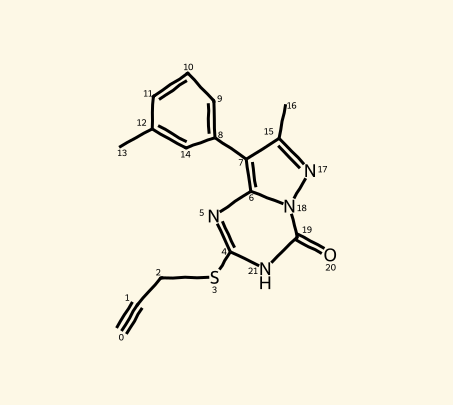 C#CCSc1nc2c(-c3cccc(C)c3)c(C)nn2c(=O)[nH]1